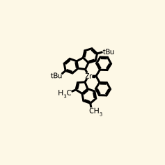 CC1=C[CH]([Zr](=[C](c2ccccc2)c2ccccc2)[CH]2c3cc(C(C)(C)C)ccc3-c3ccc(C(C)(C)C)cc32)c2ccc(C)cc21